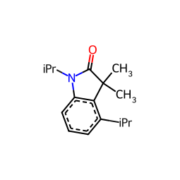 CC(C)c1cccc2c1C(C)(C)C(=O)N2C(C)C